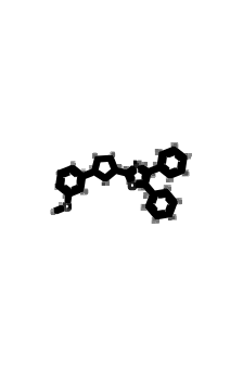 COc1cccc(C2CCC(c3nc(-c4ccccc4)c(-c4ccccc4)o3)C2)c1